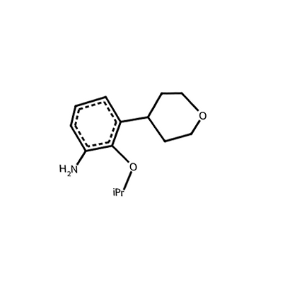 CC(C)Oc1c(N)cccc1C1CCOCC1